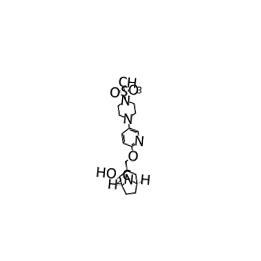 CS(=O)(=O)N1CCN(c2ccc(OC[C@H]3C[C@H]4CC[C@@H](C3)N4C(=O)O)nc2)CC1